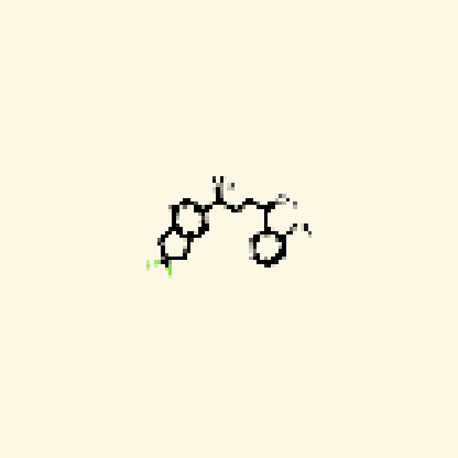 C=C(CCC(=C)c1ccccc1C)c1ccc2c(c1)CC(F)(F)C2